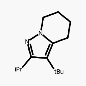 CC(C)c1nn2c(c1C(C)(C)C)CCCC2